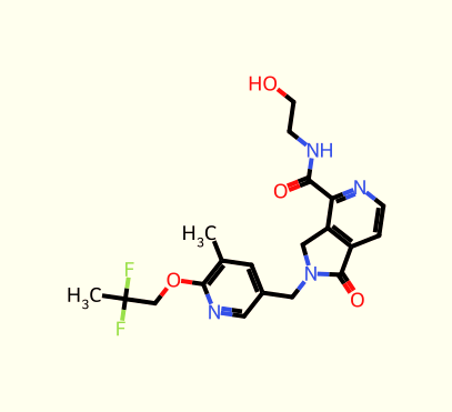 Cc1cc(CN2Cc3c(ccnc3C(=O)NCCO)C2=O)cnc1OCC(C)(F)F